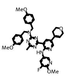 COc1ccc(CN(Cc2ccc(OC)cc2)c2nc(C)nc(-c3cc(C4=CCOCC4)cnc3Nc3cnc(OC)c(F)c3)n2)cc1